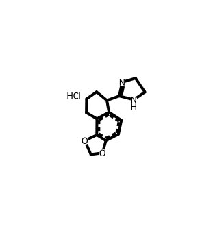 Cl.c1cc2c(c3c1OCO3)CCCC2C1=NCCN1